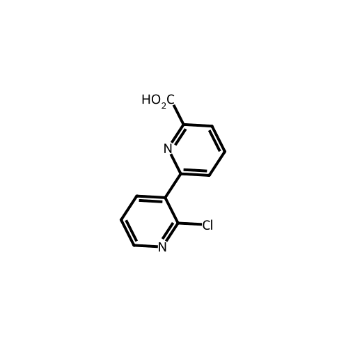 O=C(O)c1cccc(-c2cccnc2Cl)n1